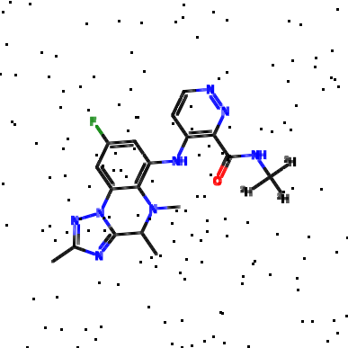 [2H]C([2H])([2H])NC(=O)c1nnccc1Nc1cc(F)cc2c1N(C)C(C)c1nc(C)nn1-2